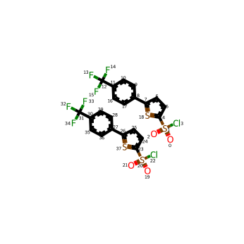 O=S(=O)(Cl)c1ccc(-c2ccc(C(F)(F)F)cc2)s1.O=S(=O)(Cl)c1ccc(-c2ccc(C(F)(F)F)cc2)s1